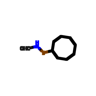 O=CNSC1CCCCCCC1